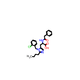 CCCCc1ncc(CC(NC(=O)Cc2ccccc2)C(=O)O)n1Cc1ccccc1Cl